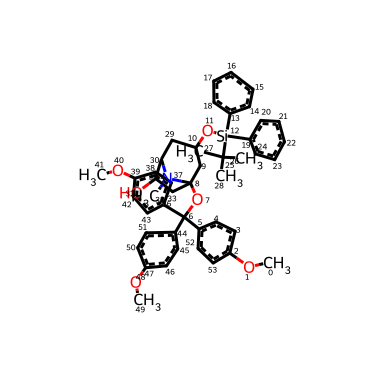 COc1ccc(C(OC23CC(O[Si](c4ccccc4)(c4ccccc4)C(C)(C)C)CC(C(O)C2)N3C)(c2ccc(OC)cc2)c2ccc(OC)cc2)cc1